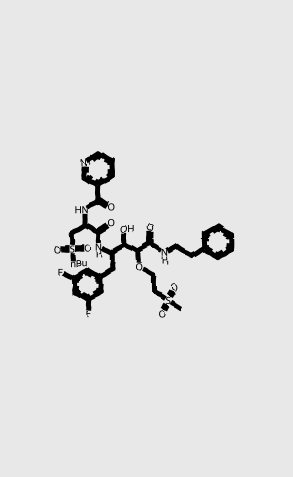 CCCCS(=O)(=O)CC(NC(=O)c1cccnc1)C(=O)NC(Cc1cc(F)cc(F)c1)C(O)C(OCCS(C)(=O)=O)C(=O)NCCc1ccccc1